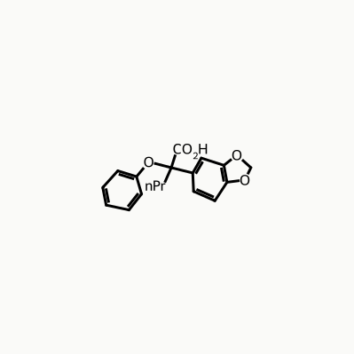 CCCC(Oc1ccccc1)(C(=O)O)c1ccc2c(c1)OCO2